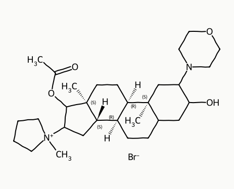 CC(=O)OC1C([N+]2(C)CCCC2)C[C@H]2[C@@H]3CCC4CC(O)C(N5CCOCC5)C[C@]4(C)[C@@H]3CC[C@]12C.[Br-]